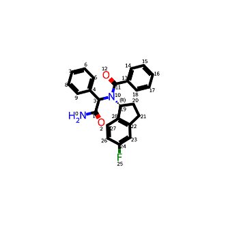 NC(=O)C(c1ccccc1)N(C(=O)c1ccccc1)[C@@H]1CCc2cc(F)ccc21